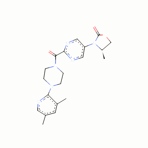 Cc1cnc(N2CCN(C(=O)c3ncc(N4C(=O)OC[C@H]4C)cn3)CC2)c(C)c1